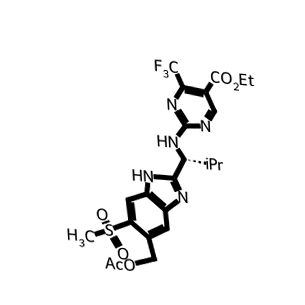 CCOC(=O)c1cnc(N[C@@H](c2nc3cc(COC(C)=O)c(S(C)(=O)=O)cc3[nH]2)C(C)C)nc1C(F)(F)F